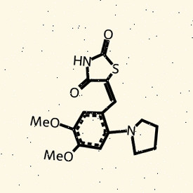 COc1cc(C=C2SC(=O)NC2=O)c(N2CCCC2)cc1OC